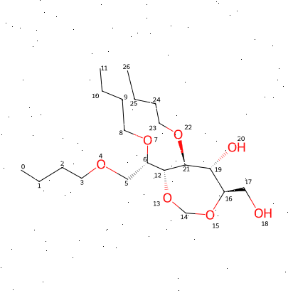 CCCCOC[C@H](OCCCC)[C@H]1OCO[C@H](CO)[C@@H](O)[C@@H]1OCCCC